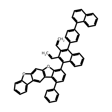 C=Cc1c(C=C)c(-c2ccc(-c3ccccc3)c3c2oc2cc4oc5ccccc5c4cc23)c2ccccc2c1-c1ccc(-c2cccc3ccccc23)cc1